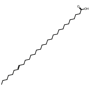 CCCCCCC=CCCCCCCCCCCCCCCCCCCCCCC(=O)O